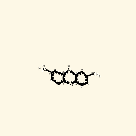 Cc1ccc2nc3ccc(C)cc3nc2c1